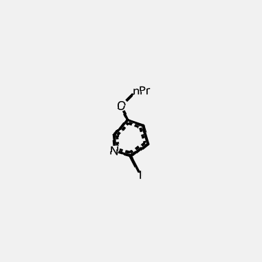 CCCOc1ccc(I)nc1